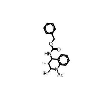 CC(=O)N1c2ccccc2C(NC(=O)OCc2ccccc2)[C@@H](C)[C@@H]1C(C)C